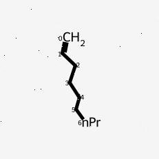 C=CCC[CH]CCCC